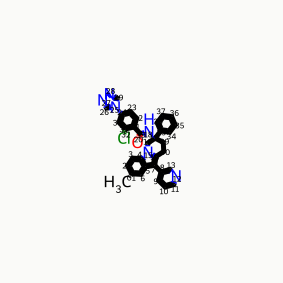 Cc1ccc2c(c1)c(-c1cccnc1)c1n2C[C@@](NC(=O)c2ccc(-n3cnnc3)cc2Cl)(c2ccccc2)CC1